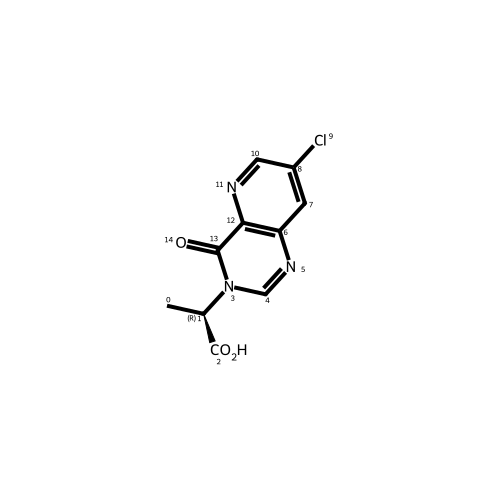 C[C@H](C(=O)O)n1cnc2cc(Cl)cnc2c1=O